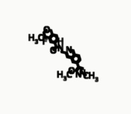 COc1nn(C)cc1-c1ccc2cnc(CNC(=O)c3ccc4c(c3)[C@](C)(F)COC4)cc2c1